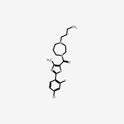 CCCCN1CCCN(C(=O)c2sc(-c3ccc(Cl)cc3F)nc2C)CC1